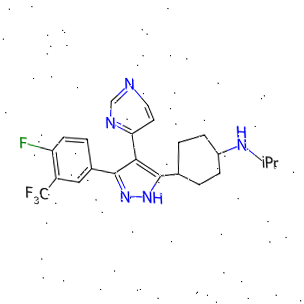 CC(C)NC1CCC(c2[nH]nc(-c3ccc(F)c(C(F)(F)F)c3)c2-c2ccncn2)CC1